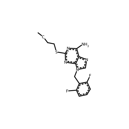 CCCCSc1nc(N)c2ncn(Cc3c(F)cccc3F)c2n1